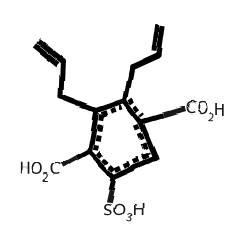 C=CCc1c(C(=O)O)cc(S(=O)(=O)O)c(C(=O)O)c1CC=C